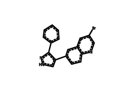 Brc1cnc2ccc(-c3c[nH]nc3-c3ccccc3)cc2c1